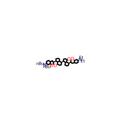 CCCCN(CCCC)c1ccc2cc(-c3cccc4c(-c5cccc6c(-c7cc8ccc(N(CC)CC)cc8oc7=O)cccc56)cccc34)c(=O)oc2c1